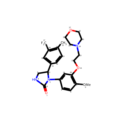 COc1ccc(N2C(=O)NCC2c2ccc(C)c(C(F)(F)F)c2)cc1OCCN1CCOCC1